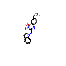 O=c1[nH]c(CN2CCc3ccccc32)nc2ccc(CC(F)(F)F)cc12